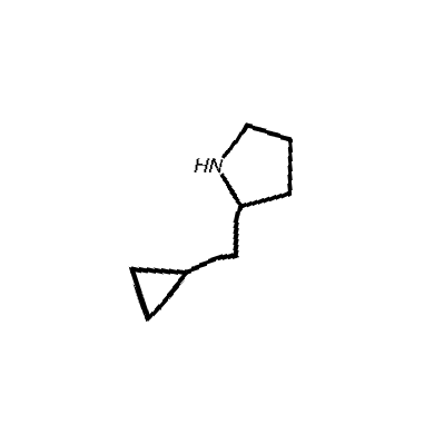 C1CNC(CC2CC2)C1